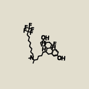 CC(CCCC[C@@H]1Cc2cc(O)ccc2[C@@H]2[C@@H]1[C@@H]1CCC(O)[C@@]1(C)C[C@@H]2F)N(C)CCCCCCCCC(F)(F)C(F)(F)F